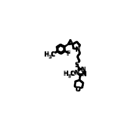 Cc1ccc([C@H]2C[C@]23CCN(CCCSc2nnc(C4CCOCC4)n2C)C3)c(F)c1